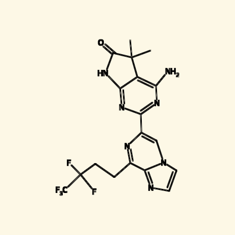 CC1(C)C(=O)Nc2nc(-c3cn4ccnc4c(CCC(F)(F)C(F)(F)F)n3)nc(N)c21